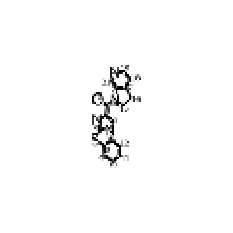 O=C(c1cn2c(n1)sc1ccccc12)N1CCc2ccncc21